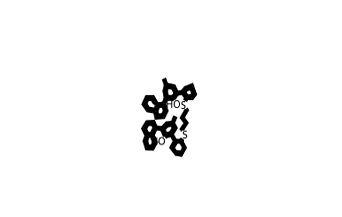 Cc1cc(C2=CC=CCC2SCCCCSc2ccccc2-c2cc(C)cc(-c3cccc4ccccc34)c2O)c(O)c(-c2cccc3ccccc23)c1